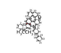 CC1(C)c2ccccc2-c2ccc(N(C3=CC=C(c4ccccc4)CC3)c3ccc4oc5ccc6ccccc6c5c4c3-c3ccccc3)cc21